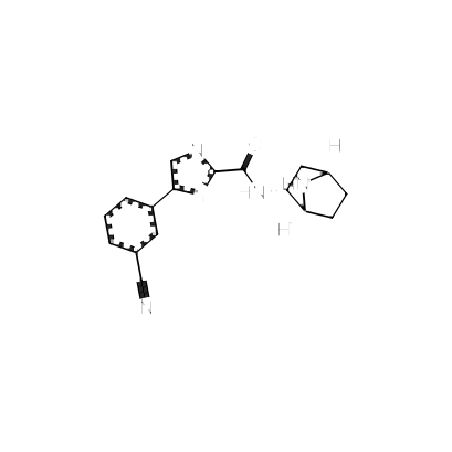 N#Cc1cccc(-c2cnc(C(=O)N[C@@H]3C[C@H]4CC[C@@H]3N4)s2)c1